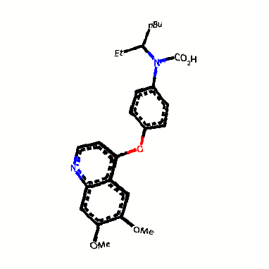 CCCCC(CC)N(C(=O)O)c1ccc(Oc2ccnc3cc(OC)c(OC)cc23)cc1